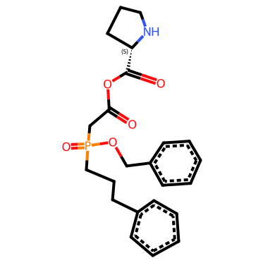 O=C(CP(=O)(CCCc1ccccc1)OCc1ccccc1)OC(=O)[C@@H]1CCCN1